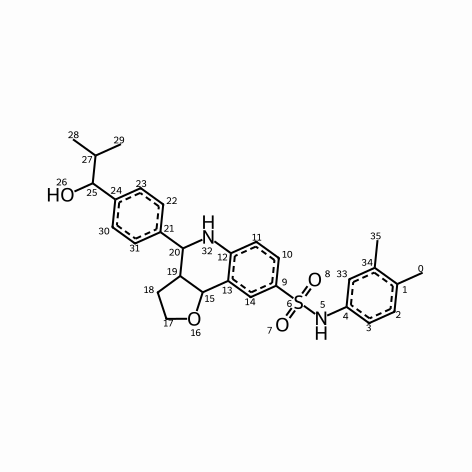 Cc1ccc(NS(=O)(=O)c2ccc3c(c2)C2OCCC2C(c2ccc(C(O)C(C)C)cc2)N3)cc1C